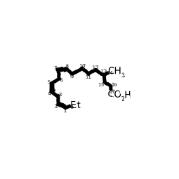 CC/C=C\C/C=C\C/C=C\CCCCC(C)CCC(=O)O